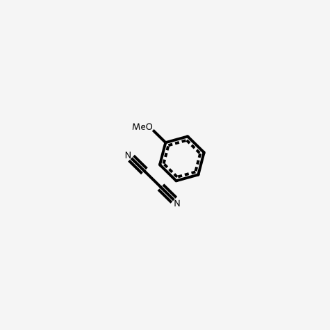 COc1ccccc1.N#CC#N